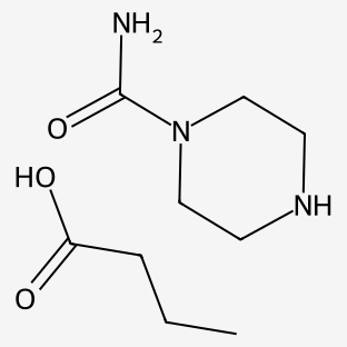 CCCC(=O)O.NC(=O)N1CCNCC1